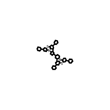 c1ccc(-c2ccc3c(c2)Sc2cc(-c4ccccc4)cc4c5cc(-c6ccc7c(c6)c6cc(-c8ccccc8)cc8c6n7-c6ccc(-c7ccccc7)cc6S8)ccc5n-3c24)cc1